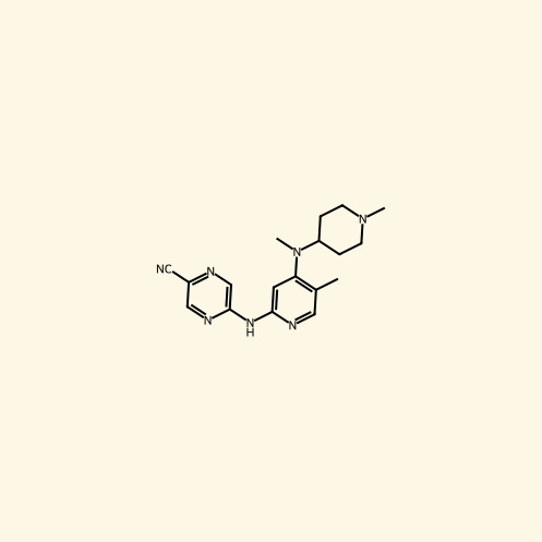 Cc1cnc(Nc2cnc(C#N)cn2)cc1N(C)C1CCN(C)CC1